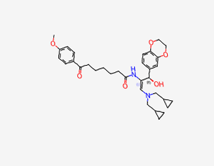 COc1ccc(C(=O)CCCCCC(=O)N/C(=C/N(CC2CC2)CC2CC2)[C@H](O)c2ccc3c(c2)OCCO3)cc1